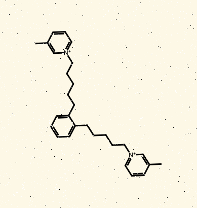 Cc1ccc[n+](CCCCCc2ccccc2CCCCC[n+]2cccc(C)c2)c1